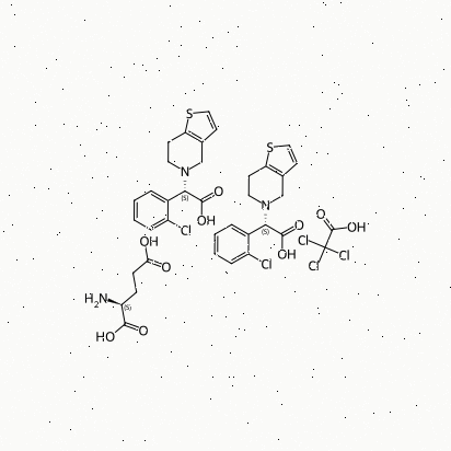 N[C@@H](CCC(=O)O)C(=O)O.O=C(O)C(Cl)(Cl)Cl.O=C(O)[C@H](c1ccccc1Cl)N1CCc2sccc2C1.O=C(O)[C@H](c1ccccc1Cl)N1CCc2sccc2C1